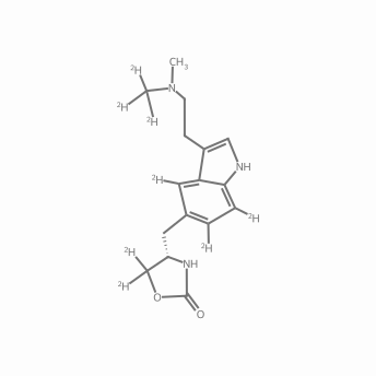 [2H]c1c(C[C@@H]2NC(=O)OC2([2H])[2H])c([2H])c2c(CCN(C)C([2H])([2H])[2H])c[nH]c2c1[2H]